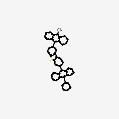 N#Cc1c2ccccc2c(-c2ccc3sc4cc(-c5c6ccccc6c(-c6ccccc6)c6ccccc56)ccc4c3c2)c2ccccc12